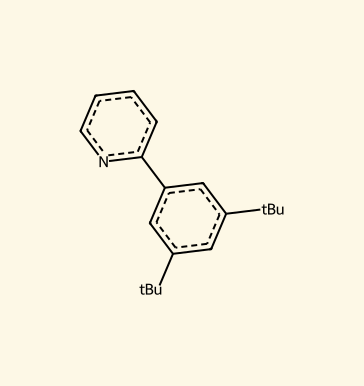 CC(C)(C)c1cc(-c2ccccn2)cc(C(C)(C)C)c1